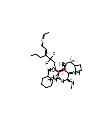 CC=C=C/C=C(\CCC)C(F)(F)CN(CC1CCCCC1)C(=C\N[C@H](C)C1CCC1)/C(N)=N\C(=N/C)C(=N)NC(O)O